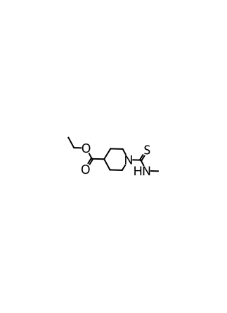 CCOC(=O)C1CCN(C(=S)NC)CC1